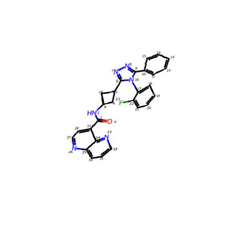 O=C(NC1CC(c2nnc(-c3ccccc3)n2-c2ccccc2F)C1)c1ccnc2cccnc12